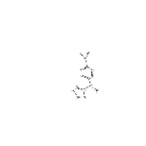 OC(c1ccc(C2CC2)cc1)c1ccsc1